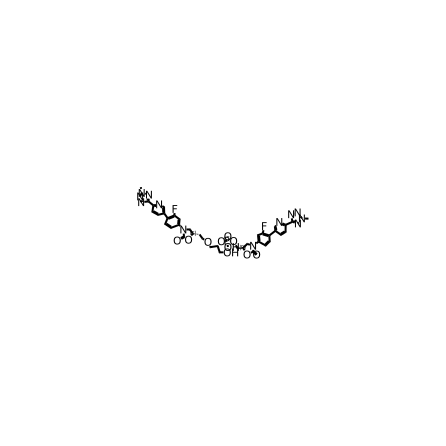 Cn1nnc(-c2ccc(-c3ccc(N4C[C@H](CCOCC(CO)OP(=O)(O)OC[C@H]5CN(c6ccc(-c7ccc(-c8nnn(C)n8)nc7)c(F)c6)C(=O)O5)OC4=O)cc3F)cn2)n1